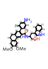 COc1cc2c(cc1OC)-c1cc(C(=O)NC(CO)Cc3c[nH]c4ccccc34)c(-c3ccc(N)cc3F)cc1CC2